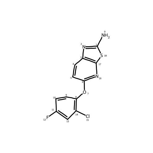 Nc1nc2ccc(Oc3ccc(F)cc3Cl)nc2s1